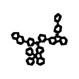 c1ccc(-c2ccc(-n3c4ccccc4c4ccc(-c5cccc(N(c6ccc(-c7ccc8ccccc8c7)cc6)c6ccc7c(c6)C(c6ccccc6)(c6ccccc6)c6ccccc6-7)c5)cc43)cc2)cc1